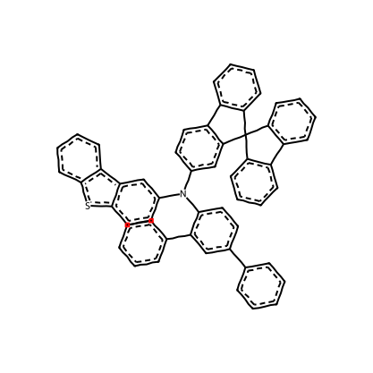 c1ccc(-c2ccc(N(c3ccc4c(c3)C3(c5ccccc5-c5ccccc53)c3ccccc3-4)c3ccc4sc5ccccc5c4c3)c(-c3ccccc3)c2)cc1